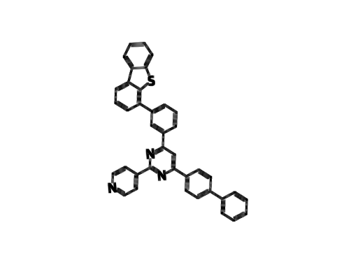 c1ccc(-c2ccc(-c3cc(-c4cccc(-c5cccc6c5sc5ccccc56)c4)nc(-c4ccncc4)n3)cc2)cc1